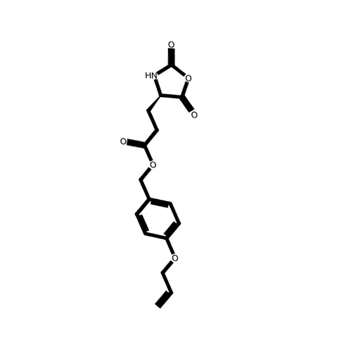 C=CCOc1ccc(COC(=O)CC[C@H]2NC(=O)OC2=O)cc1